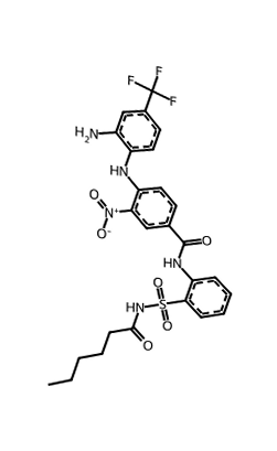 CCCCCC(=O)NS(=O)(=O)c1ccccc1NC(=O)c1ccc(Nc2ccc(C(F)(F)F)cc2N)c([N+](=O)[O-])c1